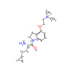 CN(C)CCOc1cccc2c1CCN2C(=O)[C@@H](N)CCC1CC1